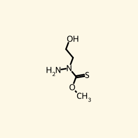 COC(=S)N(N)CCO